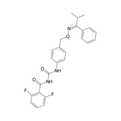 CC(C)/C(=N/OCc1ccc(NC(=O)NC(=O)c2c(F)cccc2F)cc1)c1ccccc1